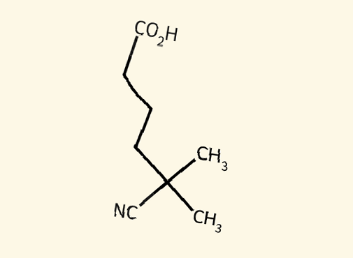 CC(C)(C#N)CCCC(=O)O